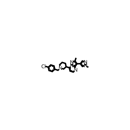 Cc1nn2c(C3CCCN(Cc4ccc(Cl)cc4)C3)ccnc2c1-c1cnn(C)c1